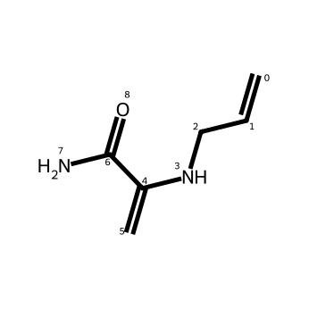 C=CCNC(=C)C(N)=O